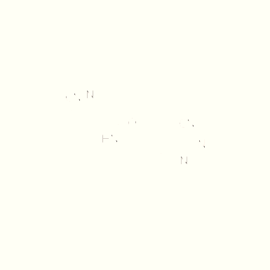 Cc1ccc(NC(=O)c2ccnc(C(C)(C)C#N)c2)cc1-c1cnc(N(C)C)c(C#N)c1